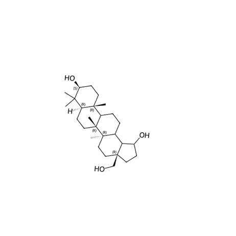 CC1(C)[C@@H](O)CC[C@]2(C)C3CCC4C5C(O)CC[C@]5(CO)CC[C@@]4(C)[C@]3(C)CC[C@@H]12